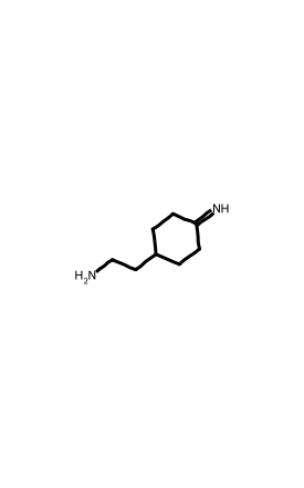 N=C1CCC(CCN)CC1